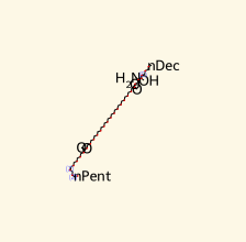 CCCCC/C=C\C/C=C\CCCCCCCC(=O)OCCCCCCCCCCCCCCCCCCCCCCCCCCCC(=O)OCC(N)C(O)/C=C/CCCCCCCCCCCCC